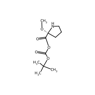 CO[C@@]1(C(=O)OC(=O)OC(C)(C)C)CCCN1